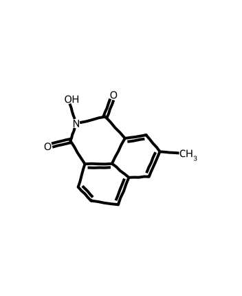 Cc1cc2c3c(cccc3c1)C(=O)N(O)C2=O